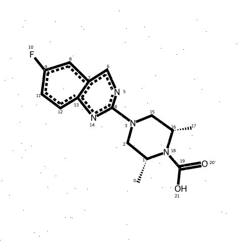 C[C@@H]1CN(c2ncc3cc(F)ccc3n2)C[C@H](C)N1C(=O)O